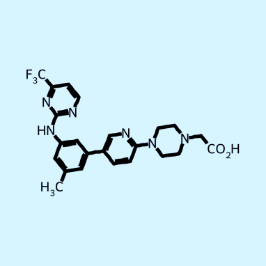 Cc1cc(Nc2nccc(C(F)(F)F)n2)cc(-c2ccc(N3CCN(CC(=O)O)CC3)nc2)c1